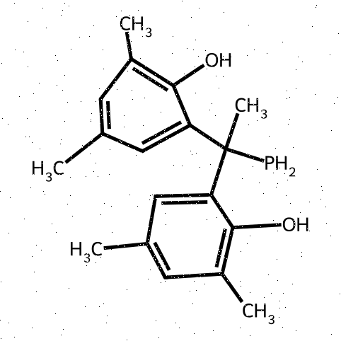 Cc1cc(C)c(O)c(C(C)(P)c2cc(C)cc(C)c2O)c1